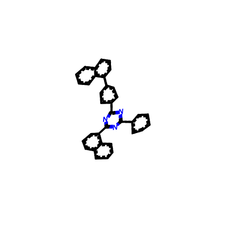 c1ccc(-c2nc(-c3ccc(-c4cccc5ccccc45)cc3)nc(-c3cccc4ccccc34)n2)cc1